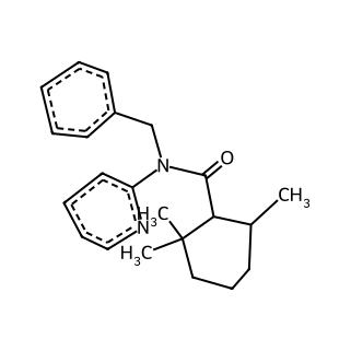 CC1CCCC(C)(C)C1C(=O)N(Cc1ccccc1)c1ccccn1